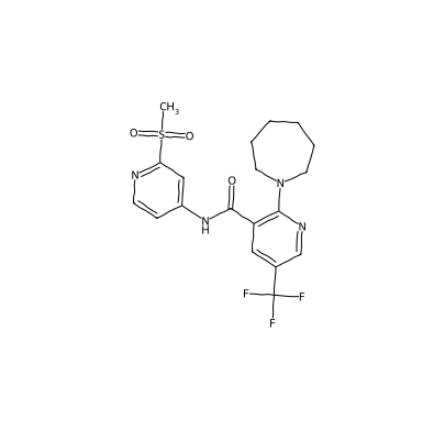 CS(=O)(=O)c1cc(NC(=O)c2cc(C(F)(F)F)cnc2N2CCCCCC2)ccn1